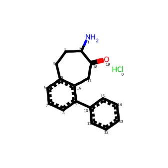 Cl.NC1CCc2cccc(-c3ccccc3)c2CC1=O